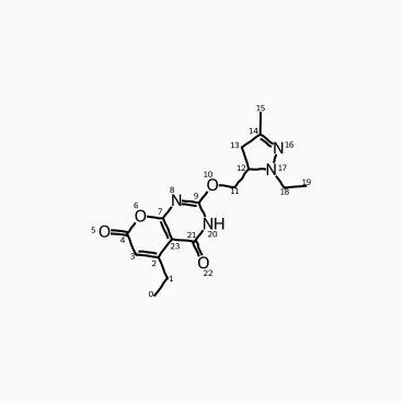 CCc1cc(=O)oc2nc(OCC3CC(C)=NN3CC)[nH]c(=O)c12